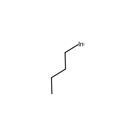 CCC[CH2][In]